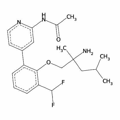 CC(=O)Nc1cc(-c2cccc(C(F)F)c2OCC(C)(N)CC(C)C)ccn1